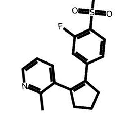 Cc1ncccc1C1=C(c2ccc(S(C)(=O)=O)c(F)c2)CCC1